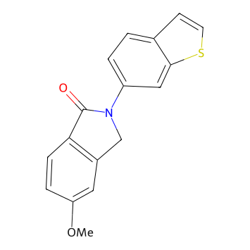 COc1ccc2c(c1)CN(c1ccc3ccsc3c1)C2=O